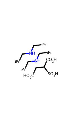 CC(C)CNCC(C)C.CC(C)CNCC(C)C.O=C(O)CC(C(=O)O)S(=O)(=O)O